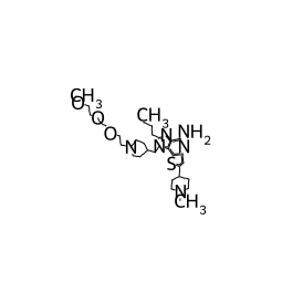 CCCCc1nc2c(N)nc3cc(C4CCN(C)CC4)sc3c2n1CC1CCN(CCOCCOCCOC)CC1